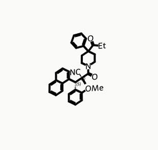 CCC(=O)C1(c2ccccc2)CCN(C(=O)[C@](C)(C#N)[C@H](c2ccccc2OC)c2cccc3ccccc23)CC1